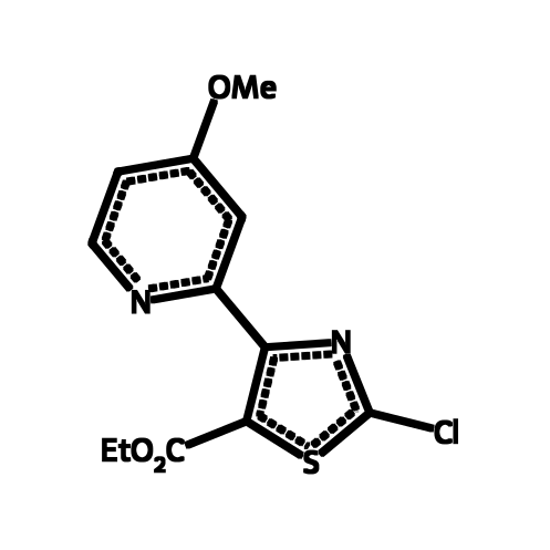 CCOC(=O)c1sc(Cl)nc1-c1cc(OC)ccn1